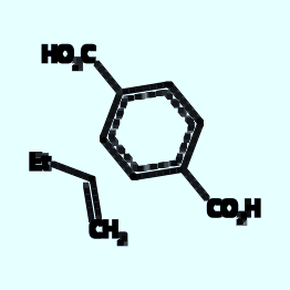 C=CCC.O=C(O)c1ccc(C(=O)O)cc1